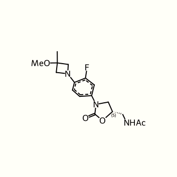 COC1(C)CN(c2ccc(N3C[C@H](CNC(C)=O)OC3=O)cc2F)C1